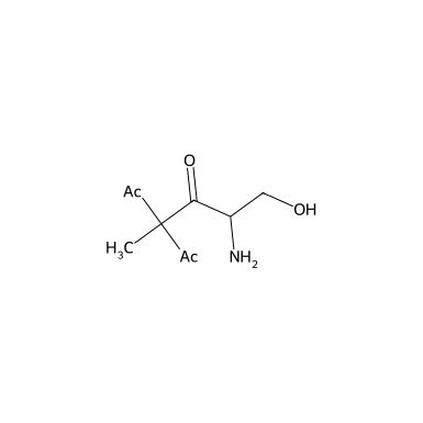 CC(=O)C(C)(C(C)=O)C(=O)C(N)CO